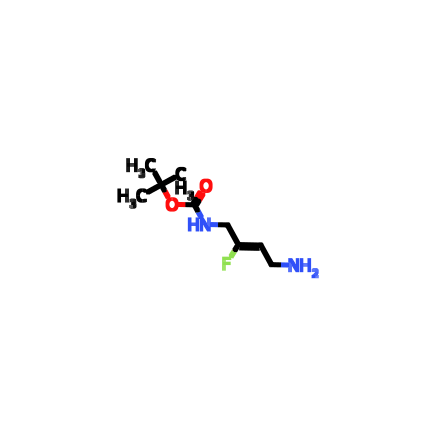 CC(C)(C)OC(=O)NC/C(F)=C/CN